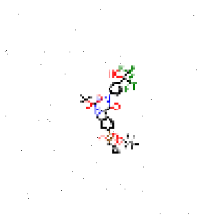 CC(C)(C)OC(=O)N1Cc2cc(S(=O)(=O)CC3(O[Si](C)(C)C(C)(C)C)CC3)ccc2C1C(=O)Nc1ccc(C(O)(C(F)(F)F)C(F)(F)F)cc1